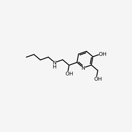 CCCCNCC(O)c1ccc(O)c(CO)n1